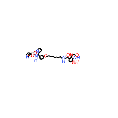 O=C(NC(c1cccc(OCCCCCCCCCNC[C@@H](O)c2ccc(O)c3[nH]c(=O)ccc23)c1)c1ccccn1)O[C@H]1CN2CCC1CC2